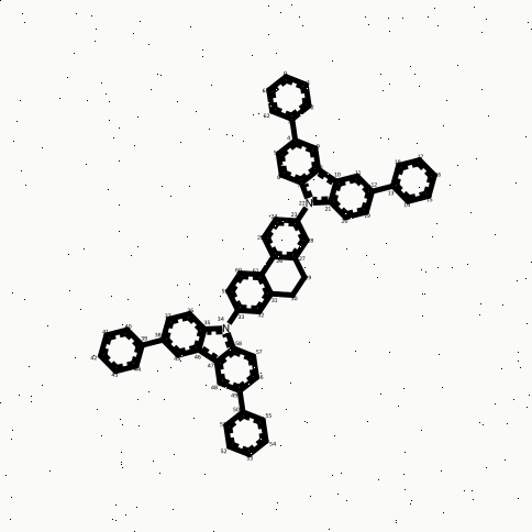 c1ccc(-c2ccc3c(c2)c2cc(-c4ccccc4)ccc2n3-c2ccc3c(c2)CCc2cc(-n4c5ccc(-c6ccccc6)cc5c5cc(-c6ccccc6)ccc54)ccc2-3)cc1